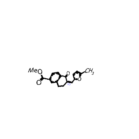 COC(=O)c1ccc2c(c1)CC/C(=C/c1ccc(C)o1)C2=O